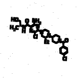 CC[C@H]1CN(c2nc(N)c(C(=O)N[C@H](C)CO)nc2Cl)CCN1C1CCN(C(=O)c2ccc(Cl)cc2)CC1